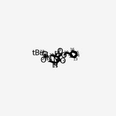 CN1[C@@H]2CC(=O)C(C(=O)OCc3ccccc3)[C@H]1CN(C(=O)OC(C)(C)C)C2